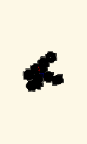 CC1(C)c2ccccc2-c2c(-c3ccccc3-c3ccccc3)cc(N(c3ccc(C4CC5CCC4C5)cc3)c3ccc4ccc(C5CCCCC5)cc4c3)cc21